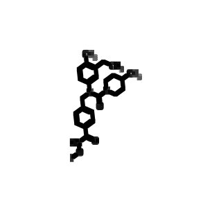 CCc1cc(N(Cc2ccc(C(=O)NOI)cc2)C(=O)N2CCC(C)CC2)ccc1C